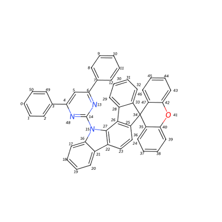 c1ccc(-c2cc(-c3ccccc3)nc(-n3c4ccccc4c4ccc5c(c43)-c3ccccc3C53c4ccccc4Oc4ccccc43)n2)cc1